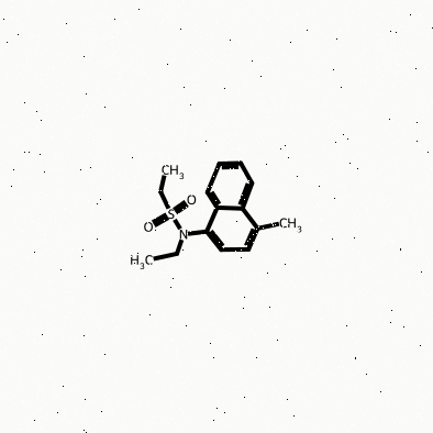 CCN(c1ccc(C)c2ccccc12)S(=O)(=O)CC